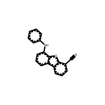 N#Cc1cccc2c1oc1c(Nc3ccccc3)cccc12